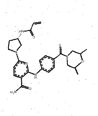 C=CC(=O)N[C@H]1CCN(c2ccc(C(N)=O)c(Nc3ccc(C(=O)N4CC(C)OC(C)C4)cc3)n2)C1